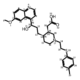 COc1ccc2nccc([C@H](O)CC[C@@H]3CCN(CCSc4ccc(C)cc4)C[C@@H]3CC(=O)O)c2c1